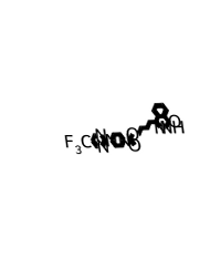 O=C(OCCCCc1n[nH]c(=O)c2ccccc12)N1CCN(c2ncc(C(F)(F)F)cn2)CC1